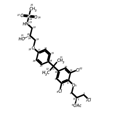 CC(=O)O[C@H](CCl)COc1c(Cl)cc(C(C)(C)C2=C=C=C(OC[C@H](O)CNS(C)(=O)=O)C=C2)cc1Cl